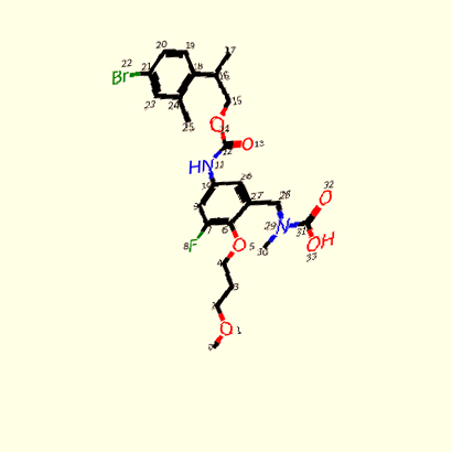 COCCCOc1c(F)cc(NC(=O)OCC(C)c2ccc(Br)cc2C)cc1CN(C)C(=O)O